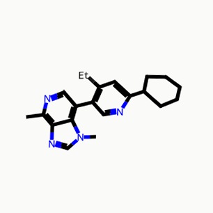 CCc1cc(C2CCCCC2)ncc1-c1[c]nc(C)c2ncn(C)c12